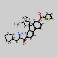 CCCC1(CCC)c2cc(C(=O)C(=N)CC3CCCCC3)ccc2-c2ccc(C(=O)c3cccs3)cc21